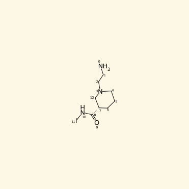 NCCN1CCC[C@H](C(=O)NI)C1